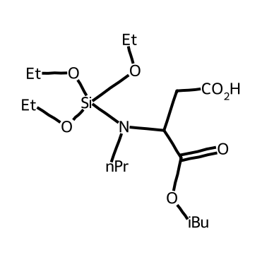 CCCN(C(CC(=O)O)C(=O)OC(C)CC)[Si](OCC)(OCC)OCC